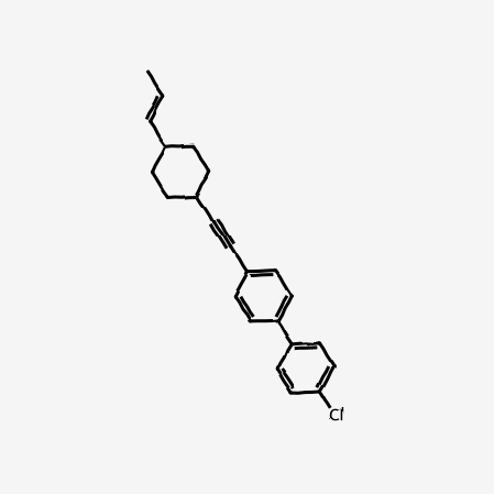 CC=CC1CCC(C#Cc2ccc(-c3ccc(Cl)cc3)cc2)CC1